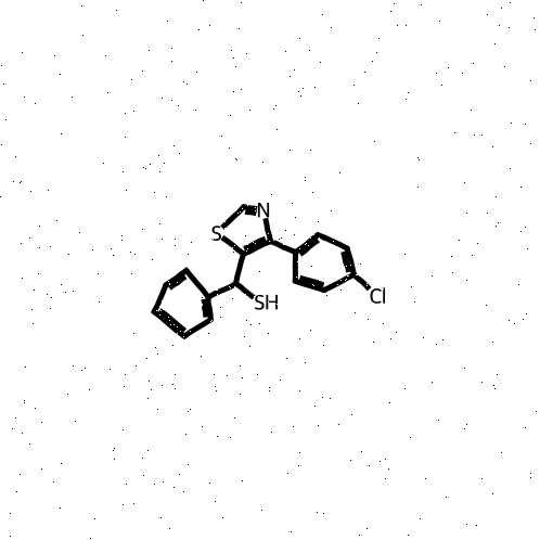 SC(c1ccccc1)c1scnc1-c1ccc(Cl)cc1